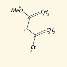 C=C(CC)CC(=C)OC